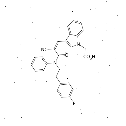 N#CC(=Cc1cn(CC(=O)O)c2ccccc12)C(=O)N(CCc1ccc(F)cc1)c1ccccc1